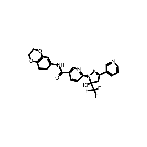 O=C(Nc1ccc2c(c1)OCCO2)c1ccc(N2N=C(c3cccnc3)CC2(O)C(F)(F)F)nc1